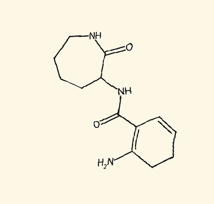 NC1=C(C(=O)NC2CCCCNC2=O)C=CCC1